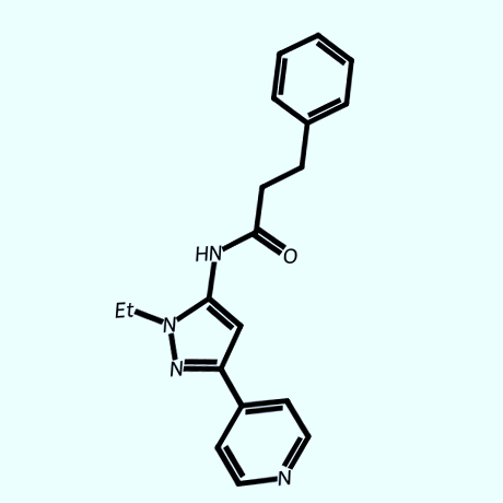 CCn1nc(-c2ccncc2)cc1NC(=O)CCc1ccccc1